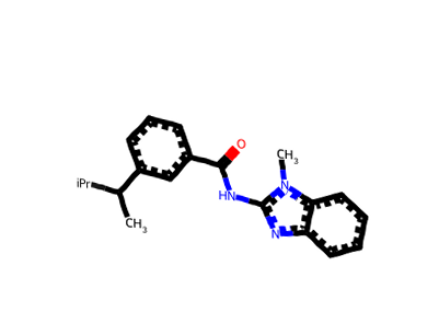 CC(C)C(C)c1cccc(C(=O)Nc2nc3ccccc3n2C)c1